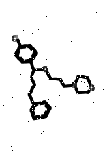 Clc1ccc(C(CCCc2ccccc2)OCCCN2CCOCC2)cc1